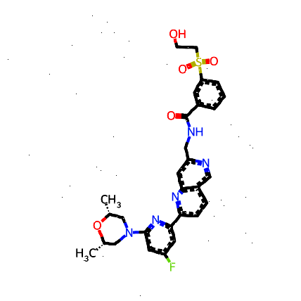 C[C@@H]1CN(c2cc(F)cc(-c3ccc4cnc(CNC(=O)c5cccc(S(=O)(=O)CCO)c5)cc4n3)n2)C[C@H](C)O1